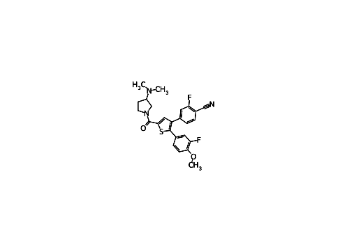 COc1ccc(-c2sc(C(=O)N3CCC(N(C)C)C3)cc2-c2ccc(C#N)c(F)c2)cc1F